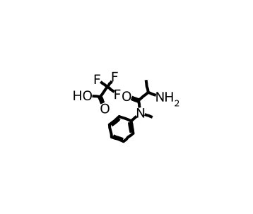 CC(N)C(=O)N(C)c1ccccc1.O=C(O)C(F)(F)F